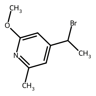 COc1cc(C(C)Br)cc(C)n1